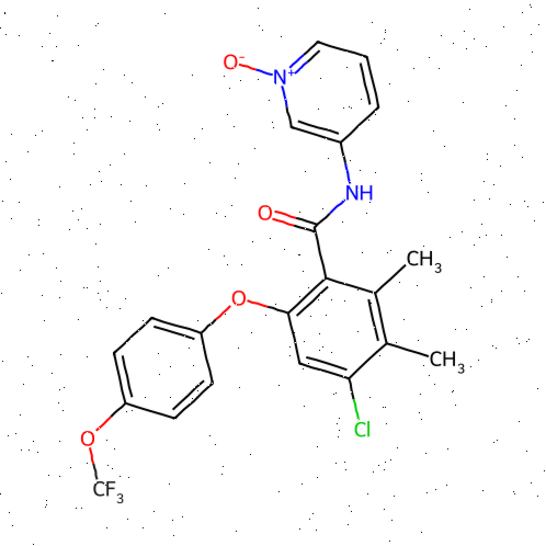 Cc1c(Cl)cc(Oc2ccc(OC(F)(F)F)cc2)c(C(=O)Nc2ccc[n+]([O-])c2)c1C